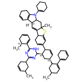 CC1C=CCC(C2=NC([C@@H]3C[C@H](C4CC(C)CC=C4C4=CC=CCC4)C=CC3C3=CCC4C(=C3)SC3(C)CC5[C@@H](C=C43)C3=C(CCC=C3)N5C3=CCCCC3)NC(C3=CC=CC[C@@H]3C)=N2)C1